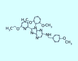 CCOc1cccc(-c2nc3ncc(NCc4ccc(OC)cc4)nc3n2-c2c(OC)cccc2OC)n1